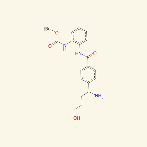 CC(C)(C)OC(=O)Nc1ccccc1NC(=O)c1ccc(C(N)CCCO)cc1